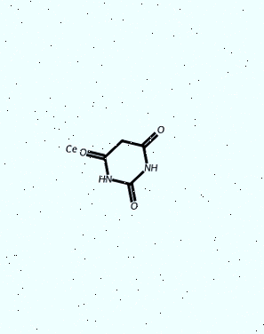 O=C1CC(=O)NC(=O)N1.[Ce]